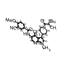 COc1ccc(C(=O)Nc2cnc3c(c(C4CCN(C(=O)C(C)C(C)(C)C)CC4)cn3C)c2C(F)(F)F)cc1C#N